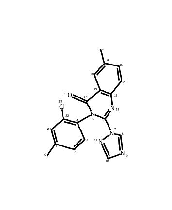 Cc1ccc(-n2c(-n3cncn3)nc3ccc(C)cc3c2=O)c(Cl)c1